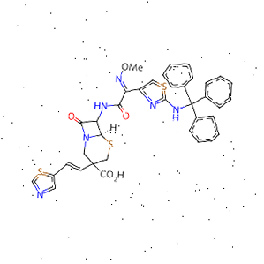 CON=C(C(=O)NC1C(=O)N2CC(C=Cc3cncs3)(C(=O)O)CS[C@H]12)c1csc(NC(c2ccccc2)(c2ccccc2)c2ccccc2)n1